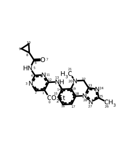 CCOC(=O)c1cnc(NC(=O)C2CC2)nc1Nc1cccc2c1N(C)Cc1nc(C)nn1-2